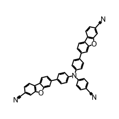 N#Cc1ccc(N(c2ccc(-c3ccc4c(c3)oc3cc(C#N)ccc34)cc2)c2ccc(-c3ccc4c(c3)oc3cc(C#N)ccc34)cc2)cc1